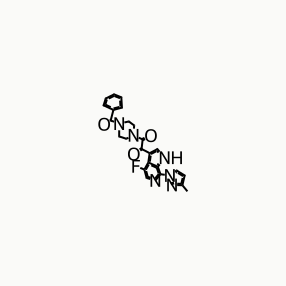 Cc1ccn(-c2ncc(F)c3c(C(=O)C(=O)N4CCN(C(=O)c5ccccc5)CC4)c[nH]c23)n1